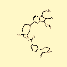 Cn1c(=O)n(CC(C)(C)C)c2ccc(C3CCC(C)(C)C(NC(=O)c4cccc(N5CCNC5=O)c4)C3)nc21